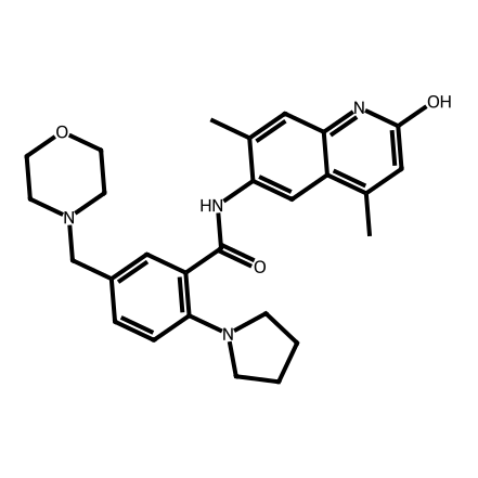 Cc1cc2nc(O)cc(C)c2cc1NC(=O)c1cc(CN2CCOCC2)ccc1N1CCCC1